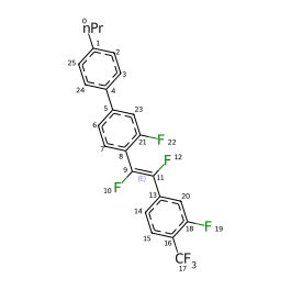 CCCc1ccc(-c2ccc(/C(F)=C(\F)c3ccc(C(F)(F)F)c(F)c3)c(F)c2)cc1